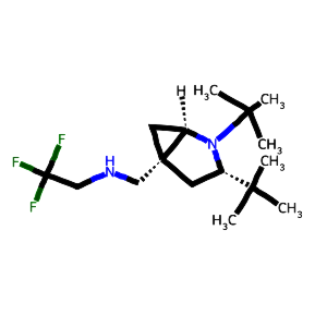 CC(C)(C)[C@@H]1C[C@@]2(CNCC(F)(F)F)C[C@H]2N1C(C)(C)C